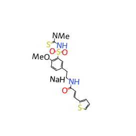 CNC(=S)NS(=O)(=O)c1cc(CCNC(=O)C=Cc2cccs2)ccc1OC.[NaH]